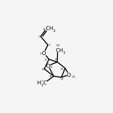 C=CCOC1CC2(C)OC1(C)C1OC12